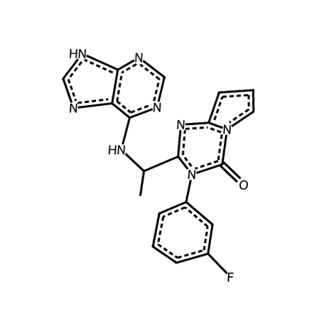 CC(Nc1ncnc2[nH]cnc12)c1nc2cccn2c(=O)n1-c1cccc(F)c1